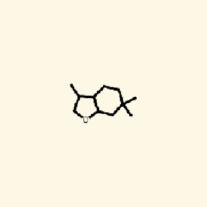 CC1COC2CC(C)(C)CCC12